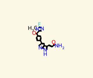 Cn1c(C(=O)c2ccc(-c3cnc4[nH]cc(C=CC(N)=O)c4c3)cc2)cnc1F